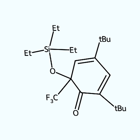 CC[Si](CC)(CC)OC1(C(F)(F)F)C=C(C(C)(C)C)C=C(C(C)(C)C)C1=O